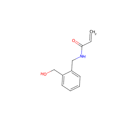 C=CC(=O)NCc1ccccc1CO